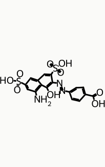 Nc1cc(S(=O)(=O)O)cc2cc(S(=O)(=O)O)c(N=Nc3ccc(C(=O)O)cc3)c(O)c12